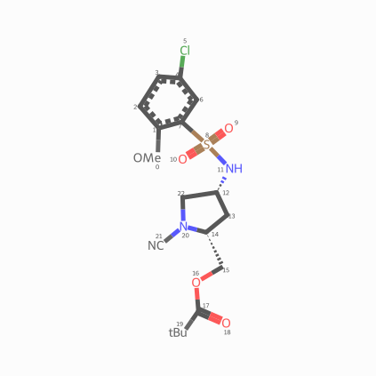 COc1ccc(Cl)cc1S(=O)(=O)N[C@@H]1C[C@H](COC(=O)C(C)(C)C)N(C#N)C1